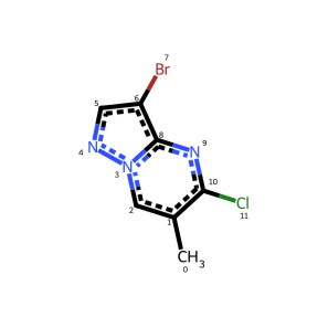 Cc1cn2ncc(Br)c2nc1Cl